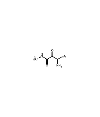 CCCC(N)C(=O)C(=O)N[C@H](C)CC